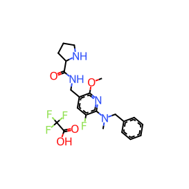 COc1nc(N(C)Cc2ccccc2)c(F)cc1CNC(=O)C1CCCN1.O=C(O)C(F)(F)F